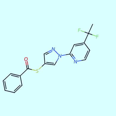 CC(F)(F)c1ccnc(-n2cc(SC(=O)c3ccccc3)cn2)c1